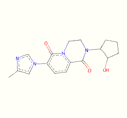 Cc1cn(-c2ccc3n(c2=O)CCN(C2CCCC2O)C3=O)cn1